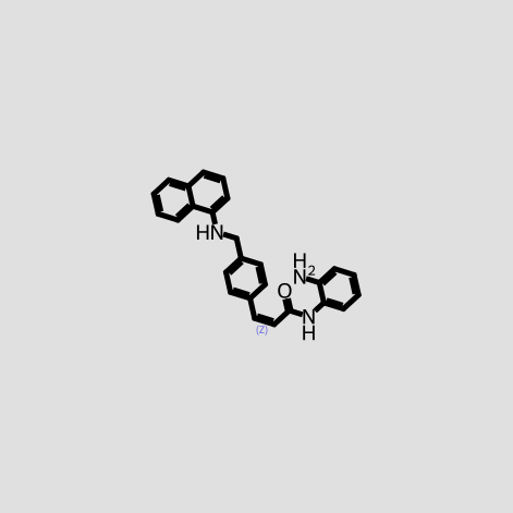 Nc1ccccc1NC(=O)/C=C\c1ccc(CNc2cccc3ccccc23)cc1